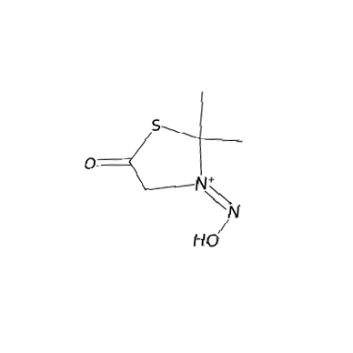 CC1(C)SC(=O)C[N+]1=NO